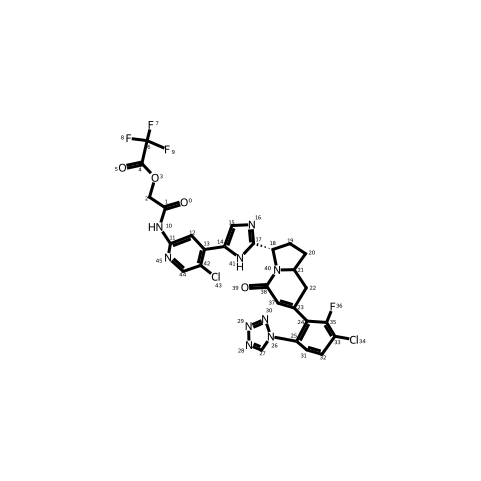 O=C(COC(=O)C(F)(F)F)Nc1cc(-c2cnc([C@@H]3CCC4CC(c5c(-n6cnnn6)ccc(Cl)c5F)=CC(=O)N43)[nH]2)c(Cl)cn1